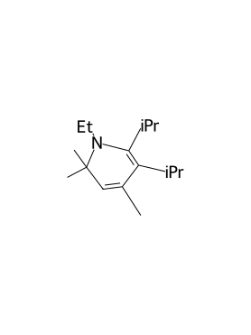 CCN1C(C(C)C)=C(C(C)C)C(C)=CC1(C)C